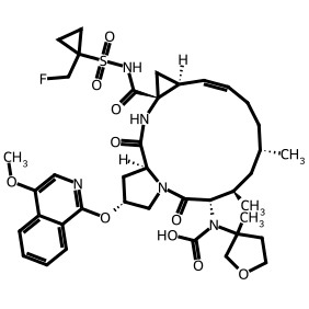 COc1cnc(O[C@@H]2C[C@H]3C(=O)N[C@]4(C(=O)NS(=O)(=O)C5(CF)CC5)C[C@H]4C=CCC[C@H](C)C[C@@H](C)[C@H](N(C(=O)O)C4(C)CCOC4)C(=O)N3C2)c2ccccc12